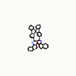 c1ccc2c(c1)-c1ccc(-c3ccc4ccc5ccccc5c4n3)cc1C21c2ccccc2-c2ccc(-c3ccc4ccc5ccccc5c4n3)cc21